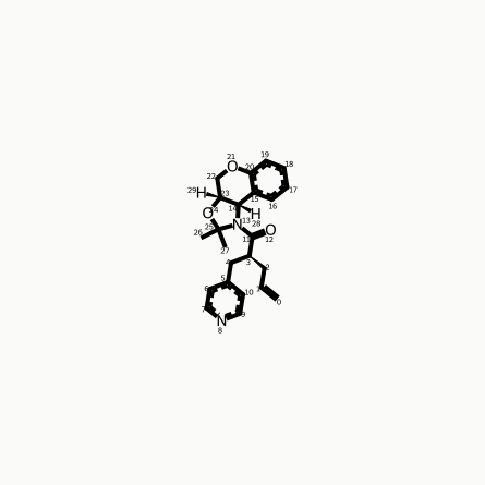 C=CC[C@@H](Cc1ccncc1)C(=O)N1[C@H]2c3ccccc3OC[C@H]2OC1(C)C